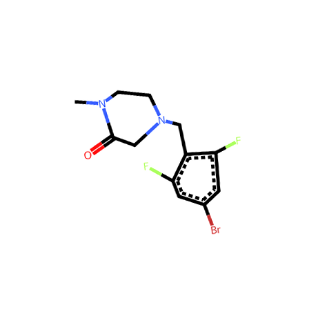 CN1CCN(Cc2c(F)cc(Br)cc2F)CC1=O